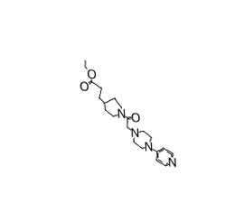 CCOC(=O)CCC1CCN(C(=O)CN2CCN(c3ccncc3)CC2)CC1